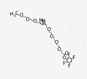 CCOCCOCCOCc1cn(CCOCCOCCOCCOCCC(=O)Oc2c(F)c(F)cc(F)c2F)nn1